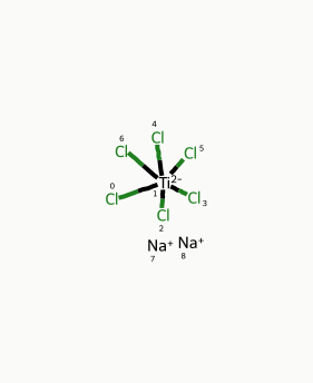 [Cl][Ti-2]([Cl])([Cl])([Cl])([Cl])[Cl].[Na+].[Na+]